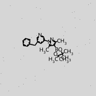 Cc1nn(-c2cncc(Cc3ccccc3)c2)c(C)c1B1OC(C)(C)C(C)(C)O1